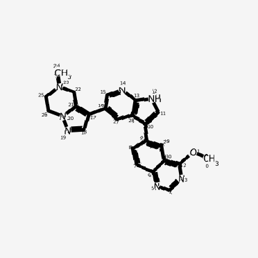 COc1ncnc2ccc(-c3c[nH]c4ncc(-c5cnn6c5CN(C)CC6)cc34)cc12